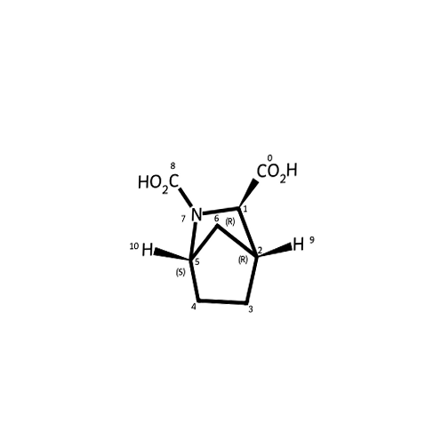 O=C(O)[C@H]1[C@@H]2CC[C@@H](C2)N1C(=O)O